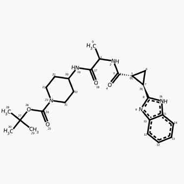 CC(NC(=O)[C@@H]1C[C@H]1c1nc2ccccc2[nH]1)C(=O)NC1CCN(C(=O)OC(C)(C)C)CC1